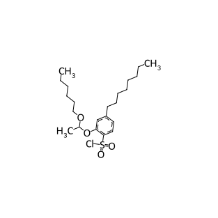 CCCCCCCCc1ccc(S(=O)(=O)Cl)c(OC(C)OCCCCCC)c1